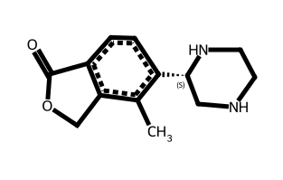 Cc1c([C@H]2CNCCN2)ccc2c1COC2=O